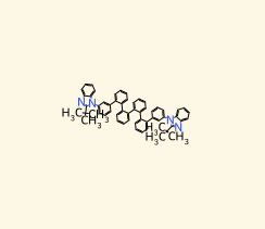 CC(C)(C)c1nc2ccccc2n1-c1cccc(-c2ccccc2-c2ccccc2-c2ccccc2-c2ccccc2-c2cccc(-n3c(C(C)(C)C)nc4ccccc43)c2)c1